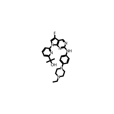 CCN1CCN(c2ccc(Nc3ncc4c(F)cn(-c5cccc(C(C)(C)O)n5)c4n3)cc2)CC1